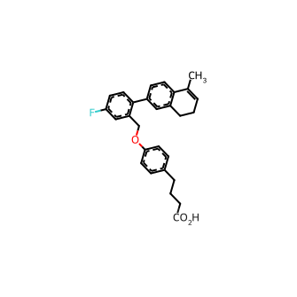 CC1=CCCc2cc(-c3ccc(F)cc3COc3ccc(CCCC(=O)O)cc3)ccc21